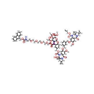 C=CCOC(=O)N1C[C@@H]2CC3(CC3)CN2C(=O)c2cc(OC)c(OCc3cccc(COc4cc5c(cc4OC)C(=O)N4CC6(CC6)C[C@H]4[C@H](O)N5C(=O)OCc4ccc(O[C@H]5O[C@@H](C(=O)OC)[C@H](OC(C)=O)[C@@H](OC(C)=O)[C@@H]5OC(C)=O)c(NC(=O)CCOCCOCCOCCOCCNC(=O)OCC5c6ccccc6-c6ccccc65)c4)c3)cc21